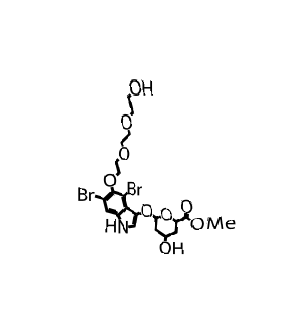 COC(=O)C1CC(O)CC(Oc2c[nH]c3cc(Br)c(OCCOCCOCCO)c(Br)c23)O1